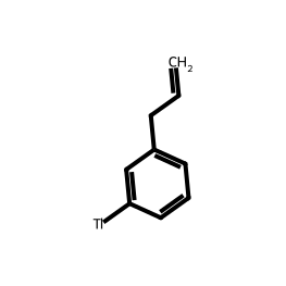 C=CCc1ccc[c]([Tl])c1